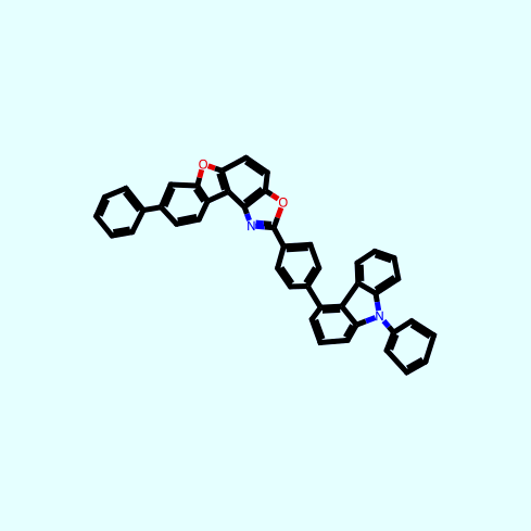 c1ccc(-c2ccc3c(c2)oc2ccc4oc(-c5ccc(-c6cccc7c6c6ccccc6n7-c6ccccc6)cc5)nc4c23)cc1